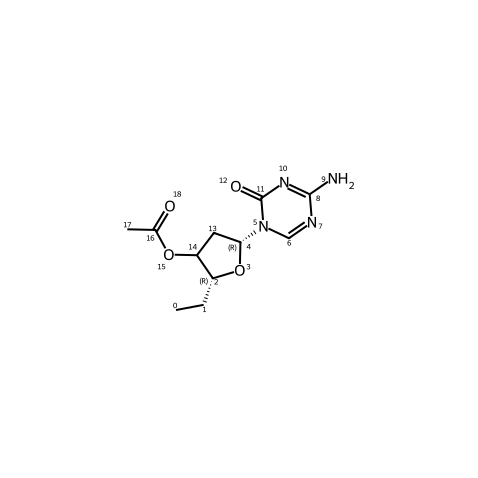 CC[C@H]1O[C@@H](n2cnc(N)nc2=O)CC1OC(C)=O